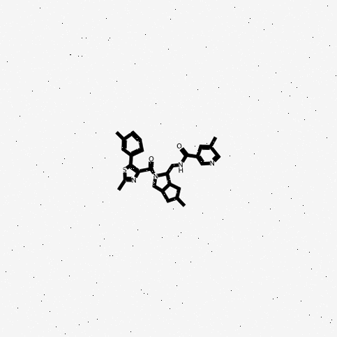 Cc1cncc(C(=O)NCC2C3CC(C)CC3CN2C(=O)c2nc(C)sc2-c2cccc(C)c2)c1